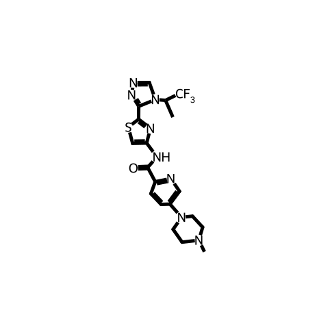 CC(n1cnnc1-c1nc(NC(=O)c2ccc(N3CCN(C)CC3)cn2)cs1)C(F)(F)F